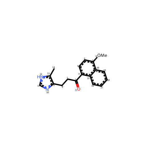 COc1ccc(C(=O)CCc2nc[nH]c2C)c2ccccc12